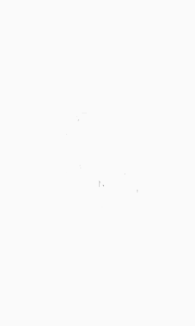 O=C(CCO)N1C[CH]CC1